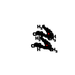 CC#CCOc1ccc(S(=O)(=O)CC2(C(=O)O)CCN(CC#CCOC(=O)Nc3cccc(Cl)c3)C(CC)C2)cc1.CC#CCOc1ccc(S(=O)(=O)CC2(C(=O)OCC)CCN(CC#CCOC(=O)Nc3cccc(Cl)c3)CC2)cc1